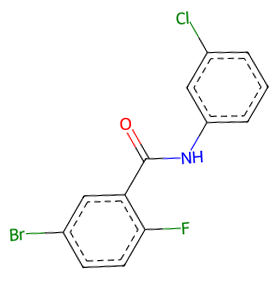 O=C(Nc1cccc(Cl)c1)c1cc(Br)ccc1F